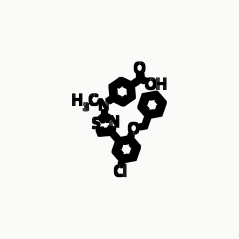 CN(c1ccc(C(=O)O)cc1)c1nc(-c2cc(Cl)ccc2OCc2ccccc2)cs1